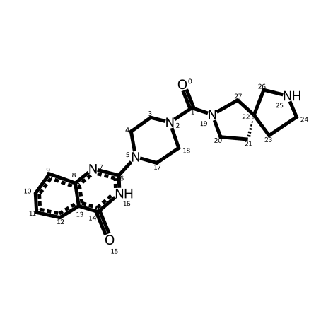 O=C(N1CCN(c2nc3ccccc3c(=O)[nH]2)CC1)N1CC[C@]2(CCNC2)C1